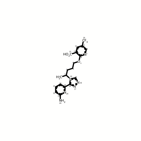 CC(CCCOc1ncc(C(F)(F)F)cc1C(=O)O)n1cnnc1-c1cccc(N)n1